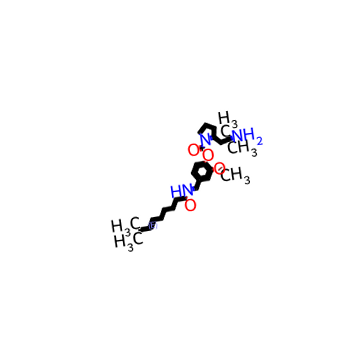 COc1cc(CNC(=O)CCCC/C=C/C(C)C)ccc1OC(=O)N1CCCC1CC(C)(C)N